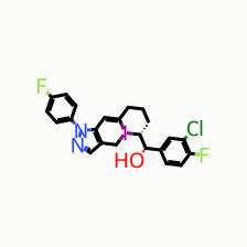 O[C@@H](c1ccc(F)c(Cl)c1)[C@H]1CCCC2=Cc3c(cnn3-c3ccc(F)cc3)CI21